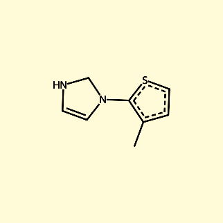 Cc1ccsc1N1C=CNC1